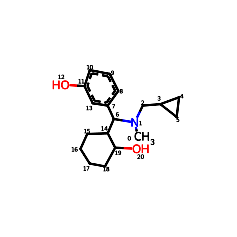 CN(CC1CC1)C(c1cccc(O)c1)C1CCCCC1O